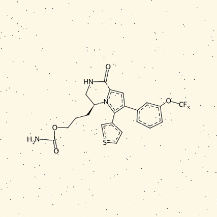 NC(=O)OCCC[C@H]1CNC(=O)c2cc(-c3cccc(OC(F)(F)F)c3)c(-c3ccsc3)n21